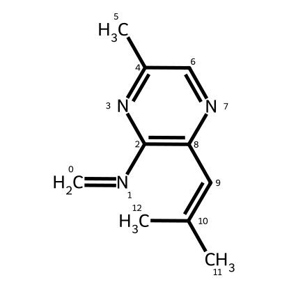 C=Nc1nc(C)cnc1C=C(C)C